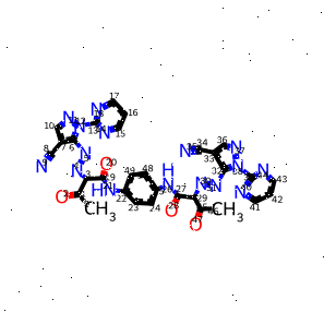 CC(=O)C(N=Nc1c(C#N)cnn1-c1ncccn1)C(=O)Nc1ccc(NC(=O)C(N=Nc2c(C#N)cnn2-c2ncccn2)C(C)=O)cc1